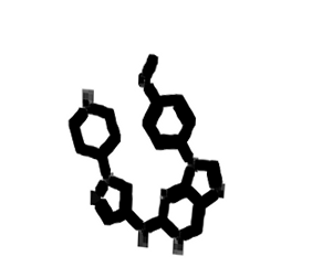 COc1ccc(-n2cnc3c2=NC(Nc2cnn(C4CCNCC4)c2)NC=3)cc1